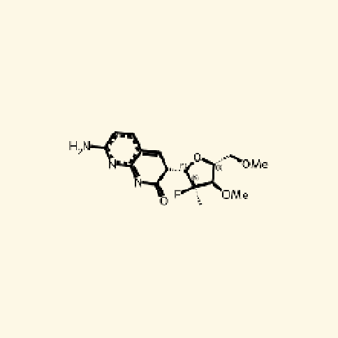 COC[C@H]1O[C@@H](C2C=c3ccc(N)nc3=NC2=O)[C@](C)(F)C1OC